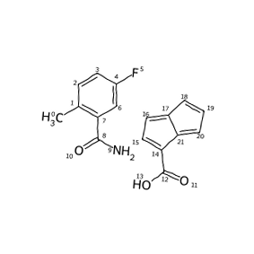 Cc1ccc(F)cc1C(N)=O.O=C(O)C1=CC=C2C=CC=C21